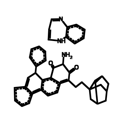 C1=CNc2ccccc2N=C1.NC1C(=O)C(CCC23CC4CC(CC(C4)C2)C3)=c2ccc3c(c2C1=O)C(c1ccccc1)C=c1ccccc1=3